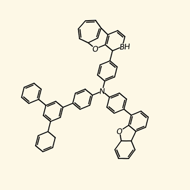 B1C=CC2=C(OC3C=CC=CC2=C3)C1c1ccc(N(c2ccc(-c3cc(-c4ccccc4)cc(C4C=CC=CC4)c3)cc2)c2ccc(-c3cccc4c3OC3C=CC=CC43)cc2)cc1